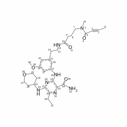 CC#CC(=O)N(C)CCCC(=O)NCCc1cc(Nc2nc(NC3CCOCC3)c(CC)nc2C(N)=O)cc(OC)c1